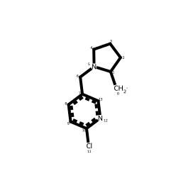 [CH2]C1CCCN1Cc1ccc(Cl)nc1